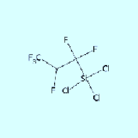 FC(C(F)(F)F)C(F)(F)[Si](Cl)(Cl)Cl